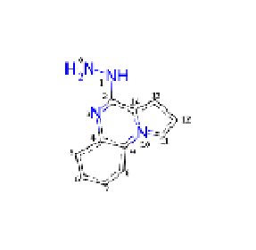 NNc1nc2ccccc2n2cccc12